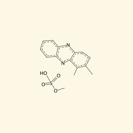 COS(=O)(=O)O.Cc1ccc2nc3ccccc3nc2c1C